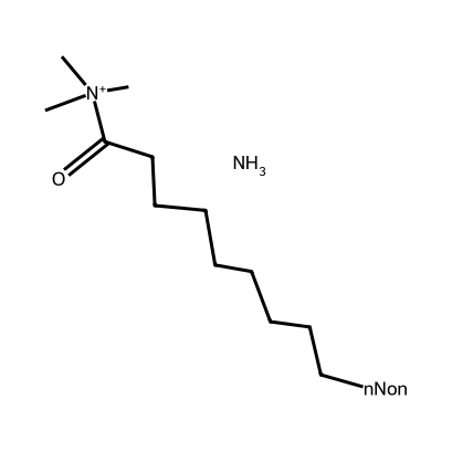 CCCCCCCCCCCCCCCCCC(=O)[N+](C)(C)C.N